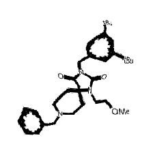 COCCN1C(=O)N(Cc2cc(C(C)(C)C)cc(C(C)(C)C)c2)C(=O)C12CCN(Cc1ccccc1)CC2